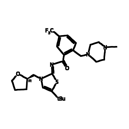 CN1CCN(Cc2ccc(C(F)(F)F)cc2C(=O)N=c2sc(C(C)(C)C)cn2C[C@H]2CCCO2)CC1